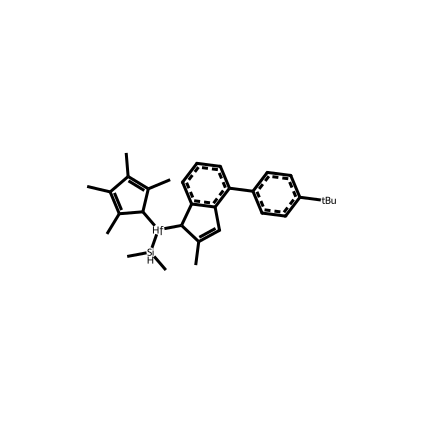 CC1=Cc2c(-c3ccc(C(C)(C)C)cc3)cccc2[CH]1[Hf]([CH]1C(C)=C(C)C(C)=C1C)[SiH](C)C